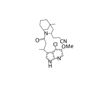 COc1cnc2[nH]cc(C(C)CC(=O)N3C(CCC#N)CC4(C)CCCC3C4)c2c1Cl